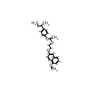 CCC(C)c1ccc(OC(C)OCCOc2ccc3c(OC)cccc3c2)cc1